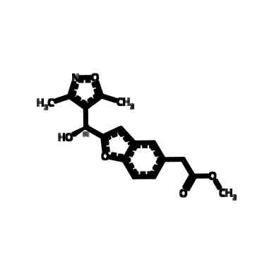 COC(=O)Cc1ccc2oc([C@@H](O)c3c(C)noc3C)cc2c1